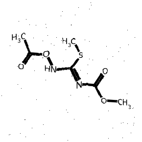 COC(=O)N=C(NOC(C)=O)SC